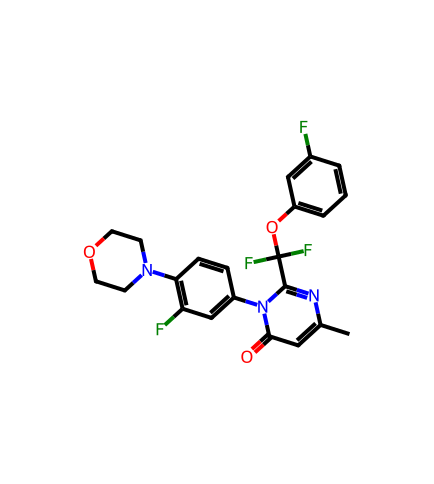 Cc1cc(=O)n(-c2ccc(N3CCOCC3)c(F)c2)c(C(F)(F)Oc2cccc(F)c2)n1